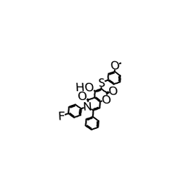 COc1cccc(Sc2c(O)c3c(=O)n(-c4ccc(F)cc4)c(-c4ccccc4)cc3oc2=O)c1